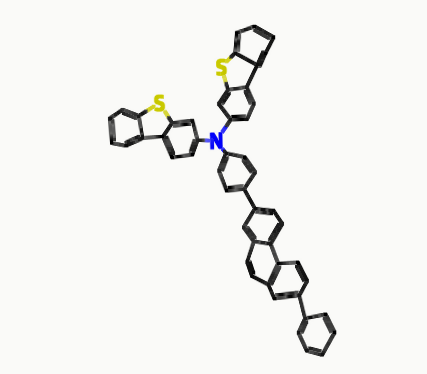 c1ccc(-c2ccc3c(ccc4cc(-c5ccc(N(c6ccc7c(c6)sc6ccccc67)c6ccc7c(c6)sc6ccccc67)cc5)ccc43)c2)cc1